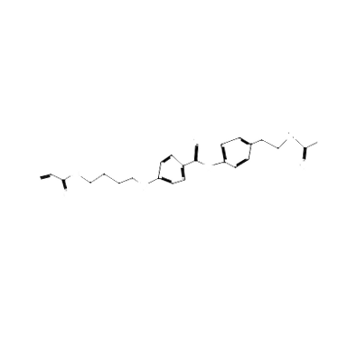 C=CC(=O)OCCCCOc1ccc(C(=O)Oc2ccc(CCNC(C)=O)cc2)cc1